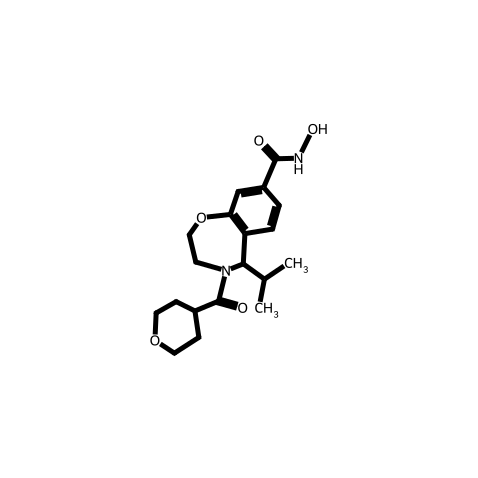 CC(C)C1c2ccc(C(=O)NO)cc2OCCN1C(=O)C1CCOCC1